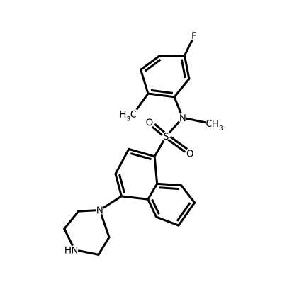 Cc1ccc(F)cc1N(C)S(=O)(=O)c1ccc(N2CCNCC2)c2ccccc12